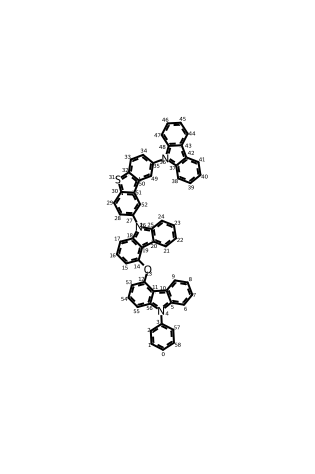 c1ccc(-n2c3ccccc3c3c(Oc4cccc5c4c4ccccc4n5-c4ccc5sc6ccc(-n7c8ccccc8c8ccccc87)cc6c5c4)cccc32)cc1